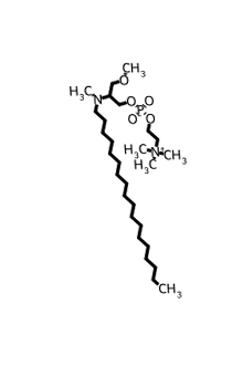 CCCCCCCCCCCCCCCCCCN(C)C(COC)COP(=O)([O-])OCC[N+](C)(C)C